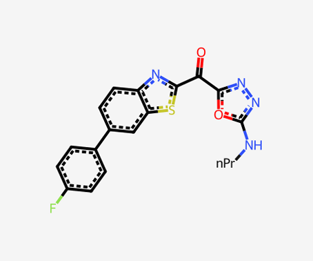 CCCNc1nnc(C(=O)c2nc3ccc(-c4ccc(F)cc4)cc3s2)o1